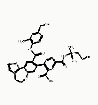 Cc1cc(CN)ccc1NC(=O)c1cc2c(cc1-c1ccc(C(=O)NC(C)(C)CCO)nc1C(=O)O)OCCc1ccsc1-2